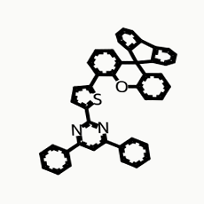 c1ccc(-c2cc(-c3ccccc3)nc(-c3ccc(-c4cccc5c4Oc4ccccc4C54c5ccccc5-c5ccccc54)s3)n2)cc1